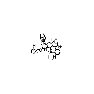 Cc1c(-c2c(C(F)(F)F)cc3c(N4CC5CCC(C4)N5)nc(OC[C@]4(C)CCCN4)nc3c2F)c2c(C#N)c(N)ccc2n1C